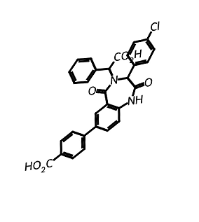 O=C(O)c1ccc(-c2ccc3c(c2)C(=O)N(C(C(=O)O)c2ccccc2)C(c2ccc(Cl)cc2)C(=O)N3)cc1